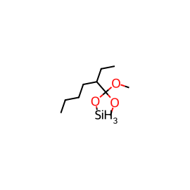 CCCCC(CC)C(OC)(OC)O[SiH3]